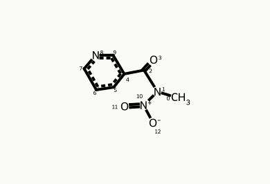 CN(C(=O)c1cccnc1)[N+](=O)[O-]